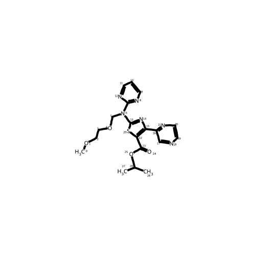 COCCOCN(c1ncccn1)c1nc(-c2cnccn2)c(C(=O)OC(C)C)s1